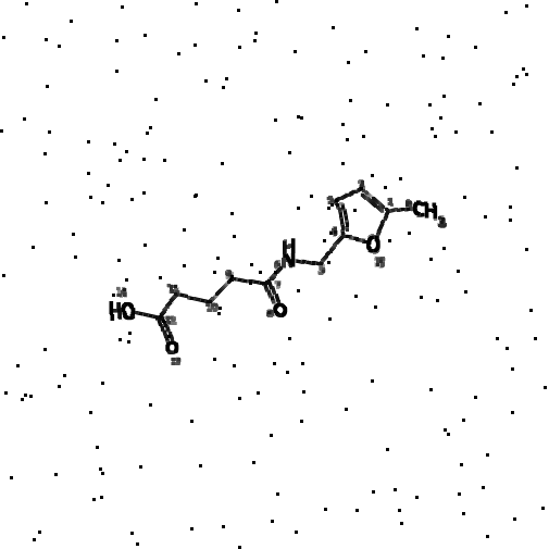 Cc1ccc(CNC(=O)CCCC(=O)O)o1